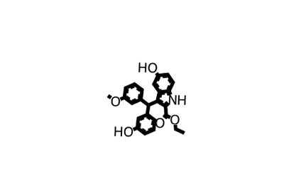 CCOC(=O)c1[nH]c2ccc(O)cc2c1C(c1cccc(O)c1)c1cccc(OC)c1